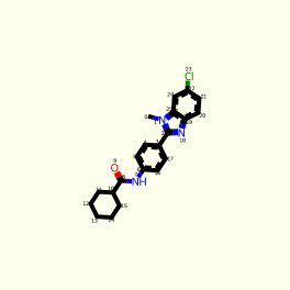 Cn1c(-c2ccc(NC(=O)C3CCCCC3)cc2)nc2ccc(Cl)cc21